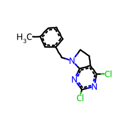 Cc1cccc(CN2CCc3c(Cl)nc(Cl)nc32)c1